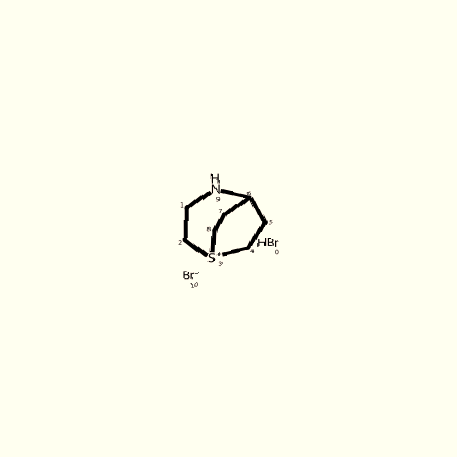 Br.C1C[S+]2CCC(CC2)N1.[Br-]